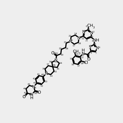 Cc1nc(Nc2ncc(C(=O)Nc3c(C)cccc3Cl)s2)cc(N2CCN(CCCCC(=O)N3CCC4(CCN(c5ccc(N6CCC(=O)NC6=O)cc5)CC4)C3)CC2)n1